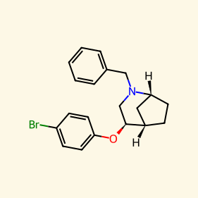 Brc1ccc(O[C@H]2CN(Cc3ccccc3)[C@@H]3CC[C@H]2C3)cc1